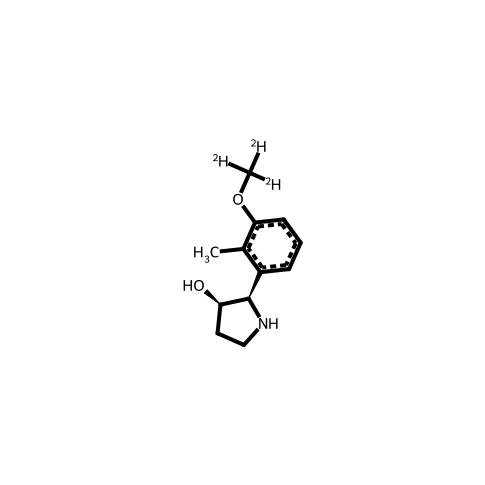 [2H]C([2H])([2H])Oc1cccc([C@H]2NCC[C@H]2O)c1C